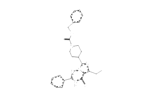 CCc1nc(C2CCN(C(=O)OCc3ccccc3)CC2)n2nc(-c3ccccc3)[nH]c(=O)c12